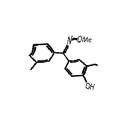 CON=C(c1cccc(C)c1)c1ccc(O)c(C)c1